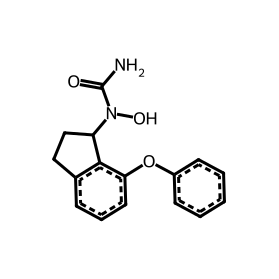 NC(=O)N(O)C1CCc2cccc(Oc3ccccc3)c21